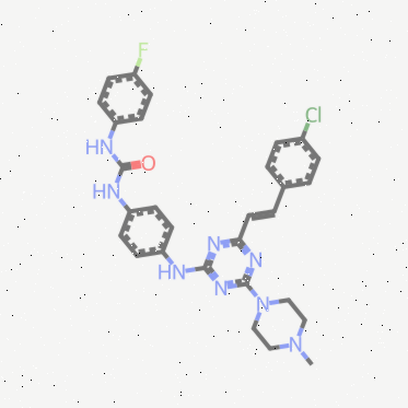 CN1CCN(c2nc(C=Cc3ccc(Cl)cc3)nc(Nc3ccc(NC(=O)Nc4ccc(F)cc4)cc3)n2)CC1